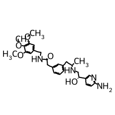 COc1cc(CNC(=O)Cc2cccc(CC(C)NC[C@@H](O)c3ccc(N)nc3)c2)cc(OC)c1OC